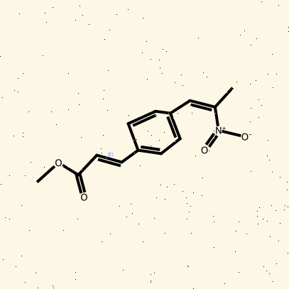 COC(=O)/C=C/c1ccc(C=C(C)[N+](=O)[O-])cc1